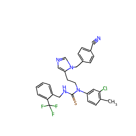 Cc1ccc(N(CCc2cncn2Cc2ccc(C#N)cc2)C(=S)NCc2ccccc2C(F)(F)F)cc1Cl